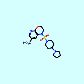 O=C(O)c1cnc2c(c1)N(S(=O)(=O)N1CCC(N3CCCC3)CC1)CCO2